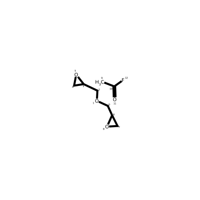 C(OCC1CO1)C1CO1.CC(=O)F